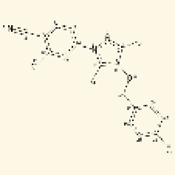 Cc1nn(-c2ccc(C#N)c(Cl)c2)c(C)c1OCc1ccc(F)cc1